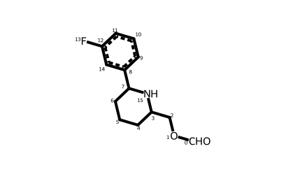 O=COCC1CCCC(c2cccc(F)c2)N1